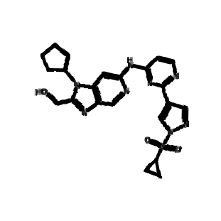 O=S(=O)(C1CC1)n1cc(-c2nccc(Nc3cc4c(cn3)nc(CO)n4C3CCCC3)n2)cn1